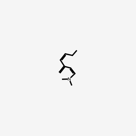 C=C(/C=C\CC)/C=C\N(C)C